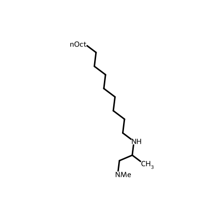 CCCCCCCCCCCCCCCCNC(C)CNC